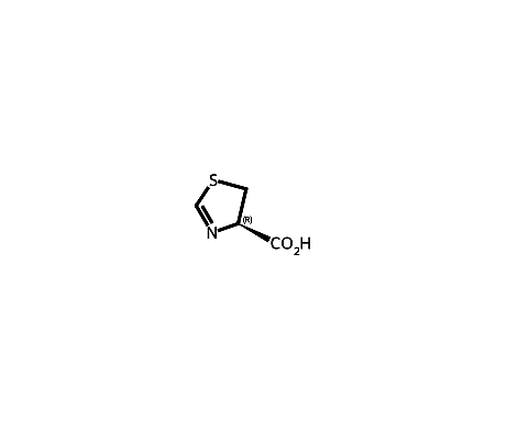 O=C(O)[C@@H]1CSC=N1